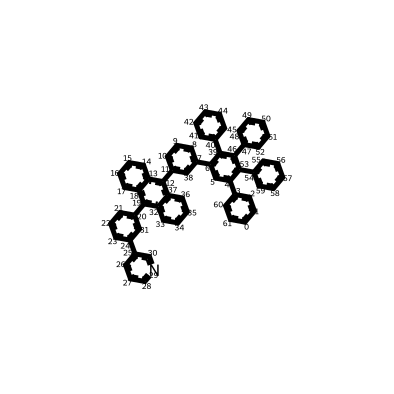 c1ccc(-c2cc(-c3cccc(-c4c5ccccc5c(-c5cccc(-c6cccnc6)c5)c5ccccc45)c3)c(-c3ccccc3)c(-c3ccccc3)c2-c2ccccc2)cc1